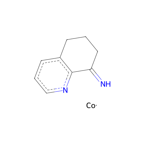 N=C1CCCc2cccnc21.[Co]